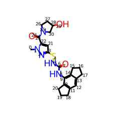 Cn1nc(SNC(=O)Nc2c3c(cc4c2CCC4)CCC3)cc1C(=O)N1CCC(O)C1